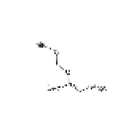 CCCCCCCC=C(C=O)OCOCCCC